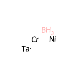 B.[Cr].[Ni].[Ta]